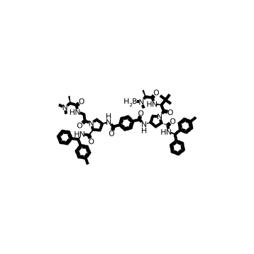 BN(C)[C@@H](C)C(=O)N[C@H](C(=O)N1C[C@@H](NC(=O)c2ccc(C(=O)N[C@H]3C[C@@H](C(=O)N[C@H](c4ccccc4)c4ccc(C)cc4)N(C(=O)CNC(=O)[C@H](C)N(C)C)C3)cc2)C[C@H]1C(=O)N[C@H](c1ccccc1)c1ccc(C)cc1)C(C)(C)C